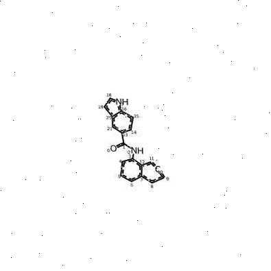 O=C(Nc1cccc2ccccc12)c1ccc2[nH]ccc2c1